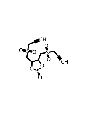 C#CCS(=O)(=O)CC1OS(=O)OC1CS(=O)(=O)CC#C